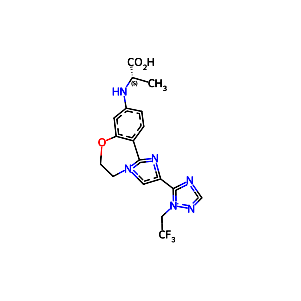 C[C@H](Nc1ccc2c(c1)OCCn1cc(-c3ncnn3CC(F)(F)F)nc1-2)C(=O)O